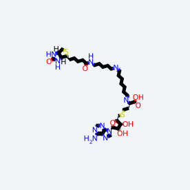 Nc1ncnc2c1ncn2[C@H]1O[C@H](CSCC[C@H](/N=C/CCCCC/C=N\CCCCCNC(=O)CCCC[C@@H]2SC[C@@H]3NC(=O)N[C@@H]32)C(=O)O)[C@@H](O)[C@H]1O